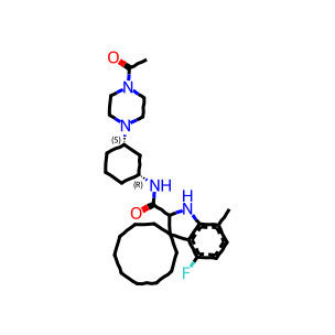 CC(=O)N1CCN([C@H]2CCC[C@@H](NC(=O)C3Nc4c(C)ccc(F)c4C34CCCCCCCCC4)C2)CC1